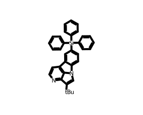 CC(C)(C)c1cn2c3ccc([Si](c4ccccc4)(c4ccccc4)c4ccccc4)cc3c3ccnc1c32